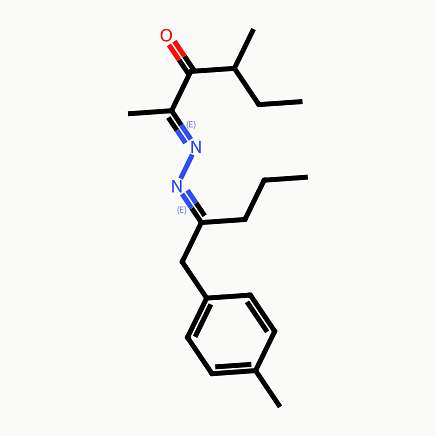 CCC/C(Cc1ccc(C)cc1)=N\N=C(/C)C(=O)C(C)CC